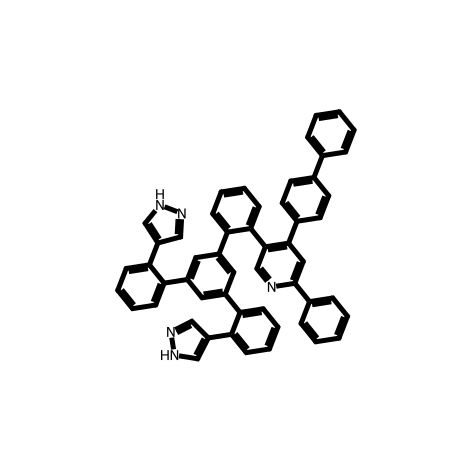 c1ccc(-c2ccc(-c3cc(-c4ccccc4)ncc3-c3ccccc3-c3cc(-c4ccccc4-c4cn[nH]c4)cc(-c4ccccc4-c4cn[nH]c4)c3)cc2)cc1